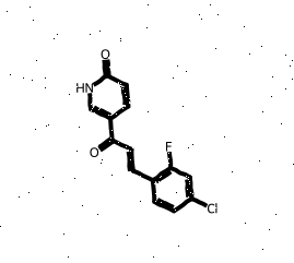 O=C(C=Cc1ccc(Cl)cc1F)c1ccc(=O)[nH]c1